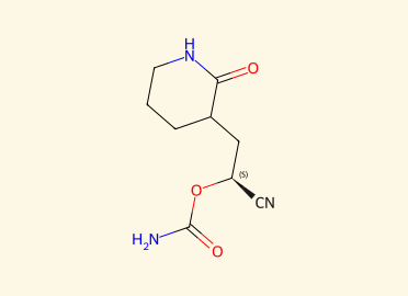 N#C[C@H](CC1CCCNC1=O)OC(N)=O